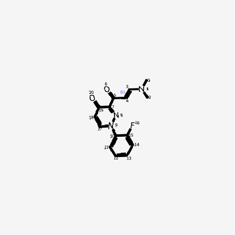 CN(C)/C=C/C(=O)c1nn(-c2ccccc2F)ccc1=O